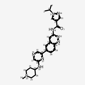 CC(C)n1cc(C(=O)Nc2cc3cc(-c4cncc(NC5CCN(C)CC5)n4)ccc3nn2)cn1